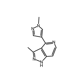 Cc1n[nH]c2ccnc(-c3cnn(C)c3)c12